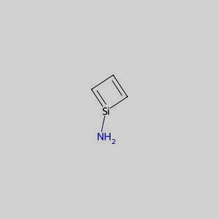 N[Si]1=CC=C1